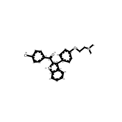 CN(C)CCOc1ccc(-c2c(C(=O)c3ccc(Cl)cc3)sc3ccccc23)cc1